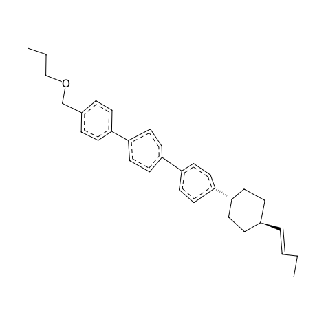 CCC=C[C@H]1CC[C@H](c2ccc(-c3ccc(-c4ccc(COCCC)cc4)cc3)cc2)CC1